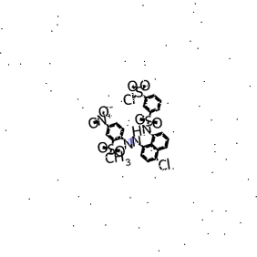 CS(=O)(=O)c1cc([N+](=O)[O-])ccc1/N=N/c1ccc(Cl)c2cccc(NS(=O)(=O)c3cccc(S(=O)(=O)Cl)c3)c12